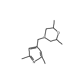 Cc1cc(CN2CC(C)OC(C)C2)cc(C)n1